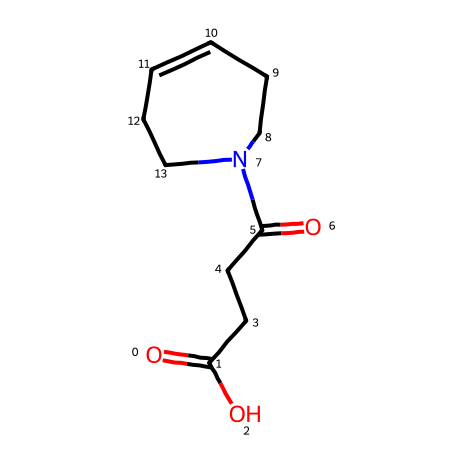 O=C(O)CCC(=O)N1CCC=CCC1